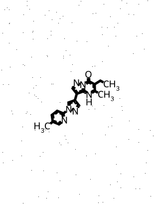 CCc1c(C)[nH]c2c(-c3cnn(-c4ccc(C)cn4)c3)cnn2c1=O